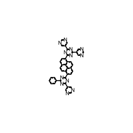 c1ccc(-c2nc(-c3cncnc3)nc(-c3ccc4ccc5c(-c6nc(-c7cncnc7)nc(-c7cncnc7)n6)ccc6ccc3c4c65)n2)cc1